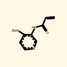 C=CC(=O)Nc1cnccc1NC